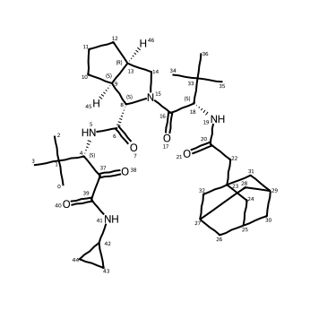 CC(C)(C)[C@H](NC(=O)[C@@H]1[C@H]2CCC[C@H]2CN1C(=O)[C@@H](NC(=O)CC12CC3CC(CC(C3)C1)C2)C(C)(C)C)C(=O)C(=O)NC1CC1